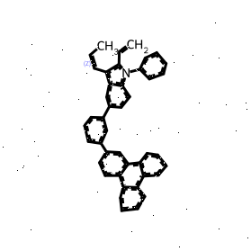 C=Cc1c(/C=C\C)c2cc(-c3cccc(-c4ccc5c6ccccc6c6ccccc6c5c4)c3)ccc2n1-c1ccccc1